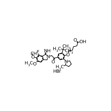 Br.COc1cc2c(c(F)c1OC)C(=N)N(CC(=O)c1cc(N3CCCC3C)c(OCCCCC(=O)O)c(C(C)(C)C)c1)C2